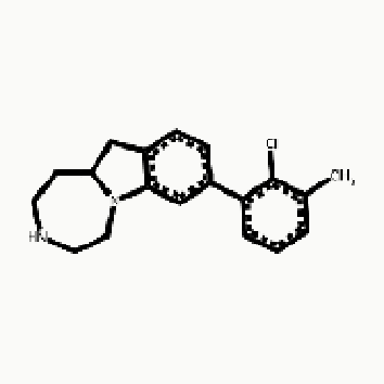 Cc1cccc(-c2ccc3c(c2)N2CCNCCC2C3)c1Cl